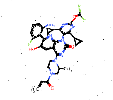 C=CC(=O)N1CCN(c2nc(=O)n(-c3c(C4CC4)nc(OC(F)F)nc3C3CC3)c3nc(-c4c(N)cccc4F)c(O)cc23)[C@@H](C)C1